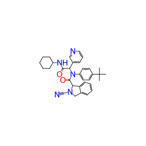 CC(C)(C)c1ccc(N(C(=O)C2c3ccccc3CN2C#N)C(C(=O)NC2CCCCC2)c2cccnc2)cc1